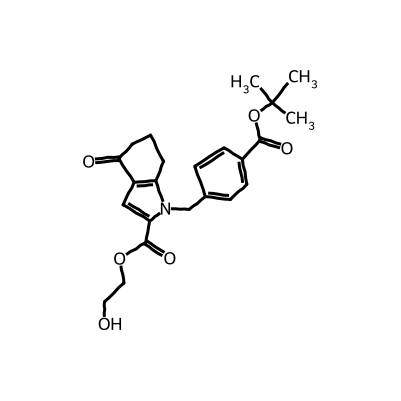 CC(C)(C)OC(=O)c1ccc(Cn2c(C(=O)OCCO)cc3c2CCCC3=O)cc1